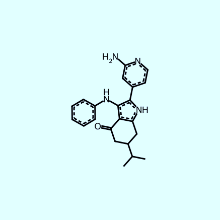 CC(C)C1CC(=O)c2c([nH]c(-c3ccnc(N)c3)c2Nc2ccccc2)C1